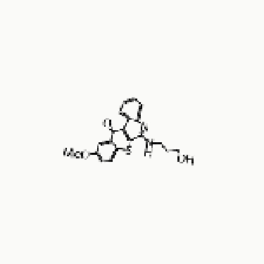 COc1ccc2sc3c(NCCCO)nc4ccccc4c3c(=O)c2c1